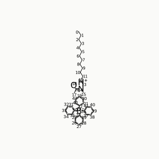 CCCCCCCCCCCCCC[NH+](C)C(C)=O.c1ccc([B-](c2ccccc2)(c2ccccc2)c2ccccc2)cc1